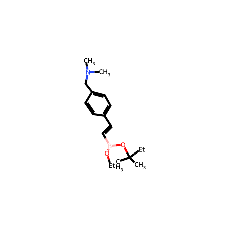 CCOB(/C=C/c1ccc(CN(C)C)cc1)OC(C)(C)CC